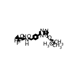 C[Si](C)(C)CCOCn1cnc2ncc(-c3ccc(CC(=O)Nc4cc(C5(C(F)(F)F)CC5)on4)cc3)nc21